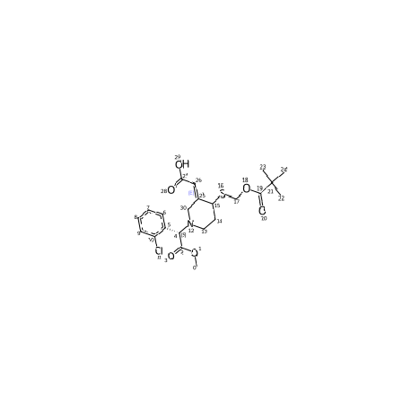 COC(=O)[C@H](c1ccccc1Cl)N1CCC(SCOC(=O)C(C)(C)C)/C(=C/C(=O)O)C1